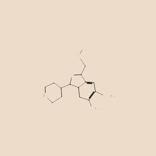 COC1=C(OC)CC2C(=C1)C(CNC=O)OC2C1CCNCC1